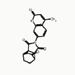 Cc1cc(=O)oc2cc(N3C(=O)C4=C5CCC(C(=O)C5)C4C3=O)ccc12